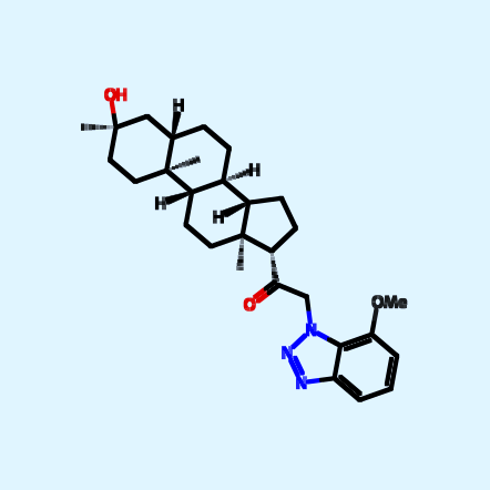 COc1cccc2nnn(CC(=O)[C@H]3CC[C@H]4[C@@H]5CC[C@H]6C[C@](C)(O)CC[C@]6(C)[C@H]5CC[C@]34C)c12